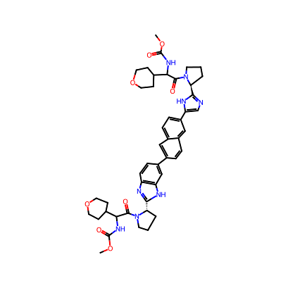 COC(=O)NC(C(=O)N1CCC[C@H]1c1ncc(-c2ccc3cc(-c4ccc5nc([C@@H]6CCCN6C(=O)C(NC(=O)OC)C6CCOCC6)[nH]c5c4)ccc3c2)[nH]1)C1CCOCC1